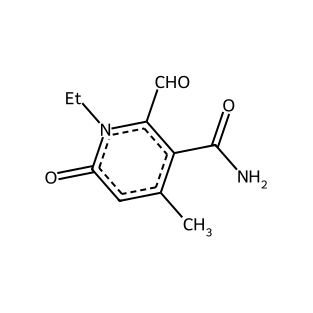 CCn1c(C=O)c(C(N)=O)c(C)cc1=O